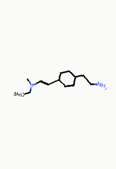 COCN(C)CCC1CCC(CCN)CC1